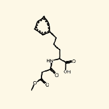 COC(=O)CC(=O)NC(CCCc1ccccc1)C(=O)O